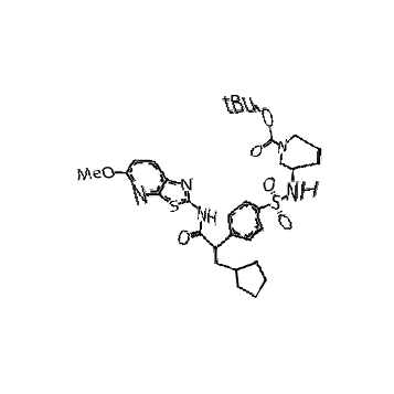 COc1ccc2nc(NC(=O)C(CC3CCCC3)c3ccc(S(=O)(=O)N[C@@H]4CCCN(C(=O)OC(C)(C)C)C4)cc3)sc2n1